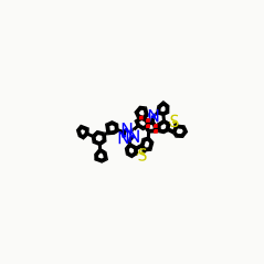 c1ccc(-c2cc(-c3ccccc3)cc(-c3cccc(-c4nc(-c5ccccc5)nc(-c5cccc6sc7ccc(-c8ccc9c(c8)c8ccccc8n9-c8ccccc8-c8cccc9c8sc8ccccc89)cc7c56)n4)c3)c2)cc1